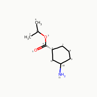 CC(C)OC(=O)[C@@H]1CCCC(N)C1